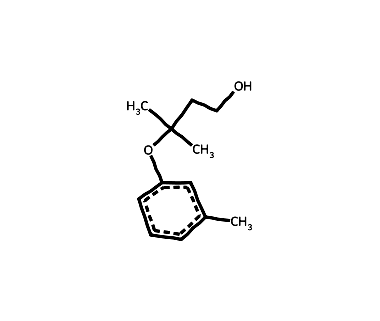 Cc1cccc(OC(C)(C)CCO)c1